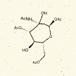 CC(=O)N[C@]1(O)[C@@H](OC(C)=O)O[C@H](COC(C)=O)[C@@H](O)[C@@H]1OC(C)=O